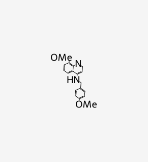 COc1ccc(CNc2ccnc3c(OC)cccc23)cc1